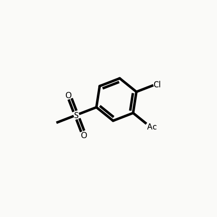 CC(=O)c1cc(S(C)(=O)=O)ccc1Cl